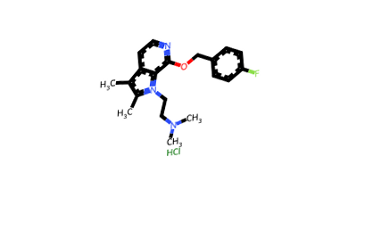 Cc1c(C)n(CCN(C)C)c2c(OCc3ccc(F)cc3)nccc12.Cl